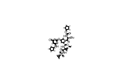 C=C[C@@H]1C[C@]1(NC(=O)[C@@H]1C[C@@H](Oc2nc(Cl)cc(NC3CCCC3)n2)CN1C(=O)[C@@H](NC(=O)OC1CCCC1)C(C)(C)C)C(=O)NS(=O)(=O)C1CC1